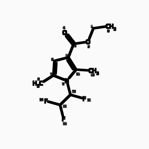 CCOC(=O)c1cc(C)n(C(F)C(F)F)c1C